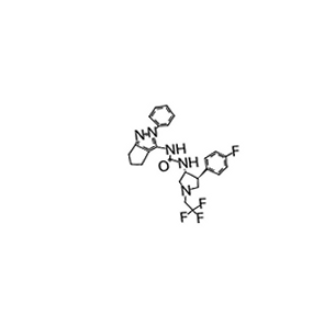 O=C(Nc1c2c(nn1-c1ccccc1)CCC2)N[C@H]1CN(CC(F)(F)F)C[C@@H]1c1ccc(F)cc1